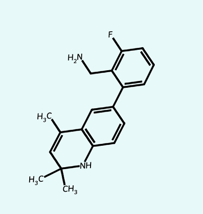 CC1=CC(C)(C)Nc2ccc(-c3cccc(F)c3CN)cc21